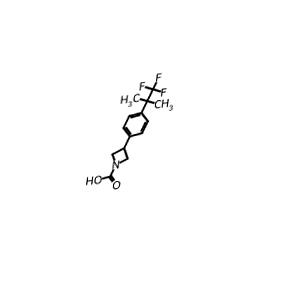 CC(C)(c1ccc(C2CN(C(=O)O)C2)cc1)C(F)(F)F